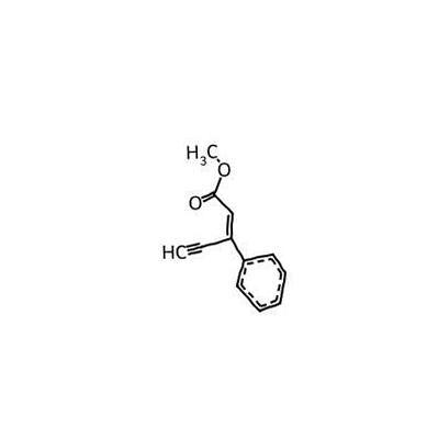 C#CC(=CC(=O)OC)c1ccccc1